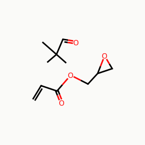 C=CC(=O)OCC1CO1.CC(C)(C)C=O